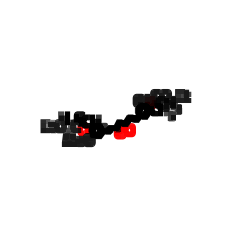 CCOC(=O)C(C)(C)Oc1ccc(C=CC(=O)CC(=O)C=Cc2ccc(OC(C)(C)C(=O)OCC)c(OC)c2)cc1OC